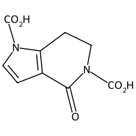 O=C(O)N1CCc2c(ccn2C(=O)O)C1=O